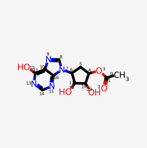 CC(=O)OC1CC(n2cnc3c(O)ncnc32)C(O)C1O